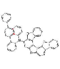 c1ccc(-c2ccc(-c3ccccc3N(c3ccccc3)c3cc4oc5ccc6c7ccccc7oc6c5c4c4c3oc3ccccc34)cc2)cc1